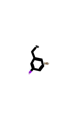 Br.[Zn][CH2]c1cccc(I)c1